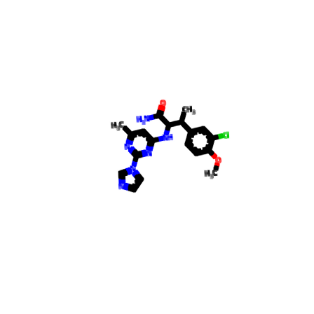 COc1ccc(C(C)C(Nc2cc(C)nc(-n3ccnc3)n2)C(N)=O)cc1Cl